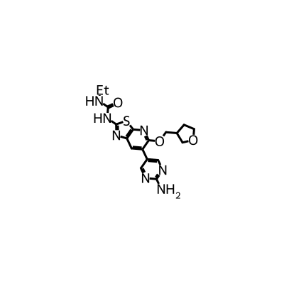 CCNC(=O)Nc1nc2cc(-c3cnc(N)nc3)c(OCC3CCOC3)nc2s1